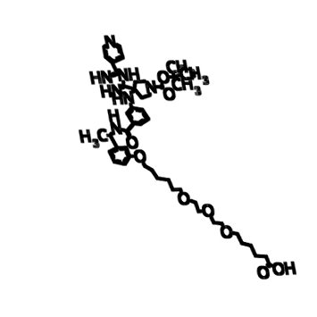 C[C@@H](NC(=O)c1cccc(NC2(C(=N)NC(=N)c3ccncc3)CCN(C(=O)OC(C)(C)C)CC2)c1)c1cccc(OCCCCCCOCCOCCOCCCCCC(=O)O)c1